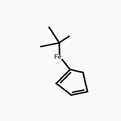 C[C](C)(C)[Fe][C]1=CC=CC1